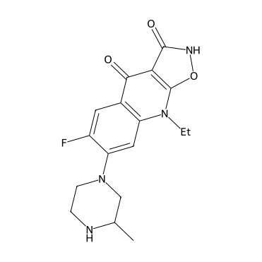 CCn1c2cc(N3CCNC(C)C3)c(F)cc2c(=O)c2c(=O)[nH]oc21